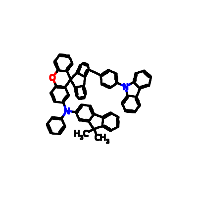 CC1(C)c2ccccc2-c2ccc(N(c3ccccc3)c3ccc4c(c3)C3(c5ccccc5O4)c4ccccc4-c4c(-c5ccc(-n6c7ccccc7c7ccccc76)cc5)cccc43)cc21